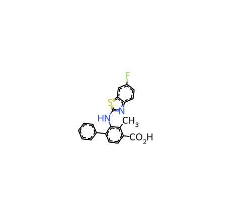 Cc1c(C(=O)O)ccc(-c2ccccc2)c1Nc1nc2ccc(F)cc2s1